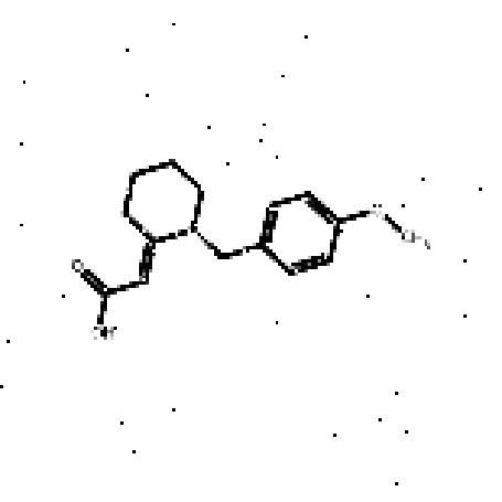 COc1ccc(C[C@@H]2CCCCC2=CC(=O)O)cc1